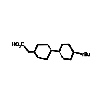 CCCC[C@H]1CC[C@H]([C@H]2CC[C@H](CC(=O)O)CC2)CC1